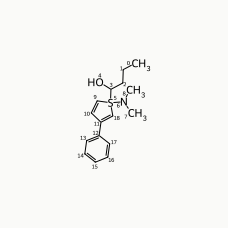 CCCC(O)S1(N(C)C)C=CC(c2ccccc2)=C1